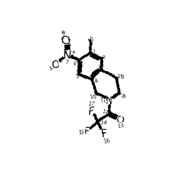 Cc1cc2c(cc1[N+](=O)[O-])CN(C(=O)C(F)(F)F)CC2